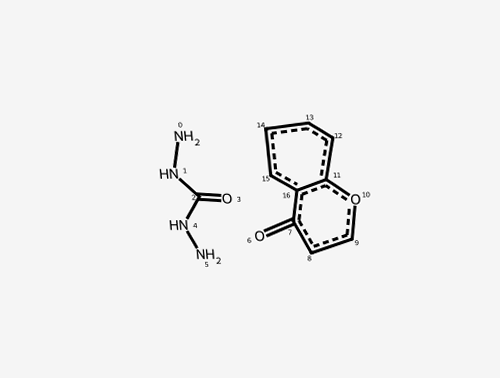 NNC(=O)NN.O=c1ccoc2ccccc12